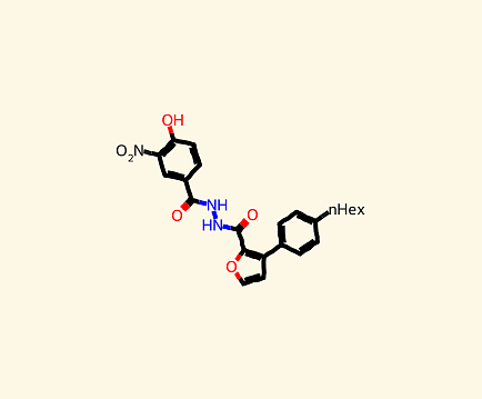 CCCCCCc1ccc(-c2ccoc2C(=O)NNC(=O)c2ccc(O)c([N+](=O)[O-])c2)cc1